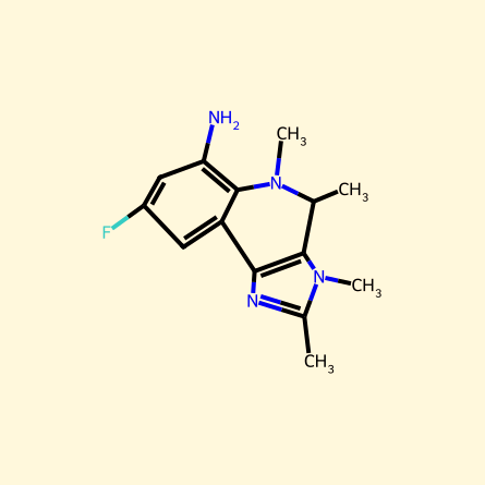 Cc1nc2c(n1C)C(C)N(C)c1c(N)cc(F)cc1-2